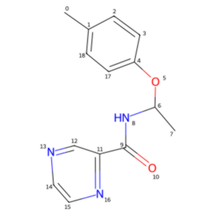 Cc1ccc(OC(C)NC(=O)c2cnccn2)cc1